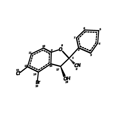 N#C[C@@]1(c2ccccc2)Oc2ccc(Cl)c(Br)c2[C@@H]1O